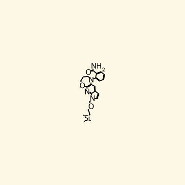 C[Si](C)(C)CCOCn1ccc2cc3c(nc21)OCCCN3c1ccccc1C(N)=O